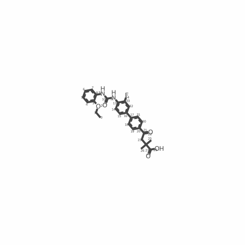 CCOc1ccccc1NC(=O)Nc1ccc(-c2ccc(C(=O)CC(C)(C)C(=O)O)cc2)cc1F